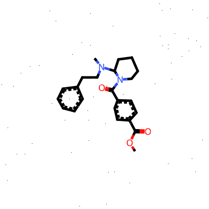 COC(=O)c1ccc(C(=O)N2CCCCC2N(C)CCc2ccccc2)cc1